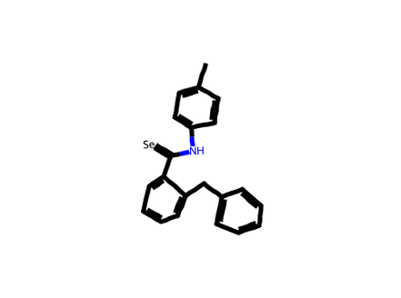 Cc1ccc(NC(=[Se])c2ccccc2Cc2ccccc2)cc1